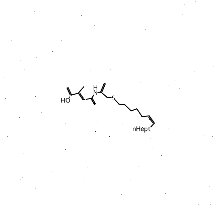 C=C(/C=C(\C)C(=C)O)NC(=C)CSCCCCC/C=C\CCCCCCC